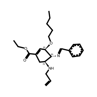 C=CCN[C@H]1CC(C(=O)OCC)=C[C@@H](OCCCCC)[C@@H]1N=Cc1ccccc1